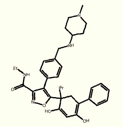 CCNC(=O)c1noc(C2(C(C)C)CC(c3ccccc3)=C(O)C=C2O)c1-c1ccc(CNC2CCN(C)CC2)cc1